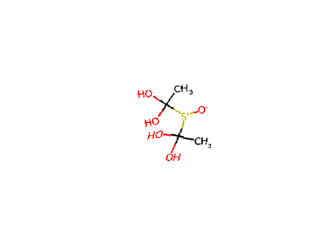 CC(O)(O)[S+]([O-])C(C)(O)O